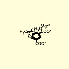 CP(C)C.O.O=C([O-])c1cccc(C(=O)[O-])c1.[Mg+2]